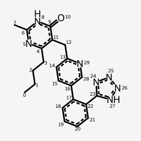 CCCCc1nc(C)[nH]c(=O)c1Cc1ccc(-c2ccccc2-c2nnn[nH]2)cn1